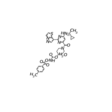 Cc1ccc(S(=O)(=O)ONC(=O)OC2CCN(C(=O)c3cc(N[C@@H](C)C4CC4)nc(-c4cnn5ccsc45)n3)CC2)cc1.O